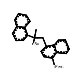 CCCCC(C)(Cc1ccc(C(C)CCC)c2ccccc12)c1cccc2ccccc12